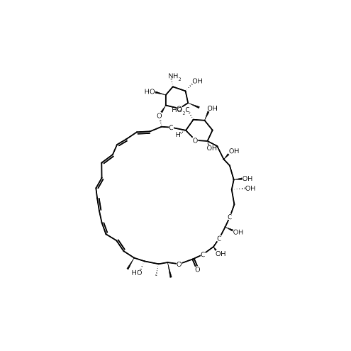 C[C@@H]1[C@H](O)[C@@H](C)/C=C/C=C\C=C\C=C\C=C\C=C\C=C\[C@H](O[C@@H]2O[C@H](C)[C@@H](O)[C@@H](N)[C@@H]2O)C[C@@H]2O[C@](O)(C[C@@H](O)C[C@@H](O)[C@H](O)CC[C@@H](O)C[C@@H](O)CC(=O)O[C@H]1C)C[C@H](O)[C@H]2C(=O)O